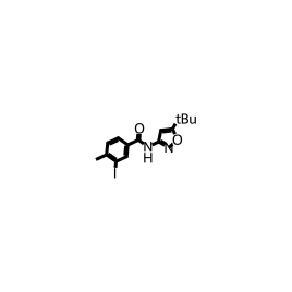 Cc1ccc(C(=O)Nc2cc(C(C)(C)C)on2)cc1I